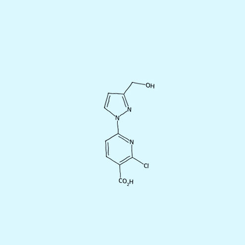 O=C(O)c1ccc(-n2ccc(CO)n2)nc1Cl